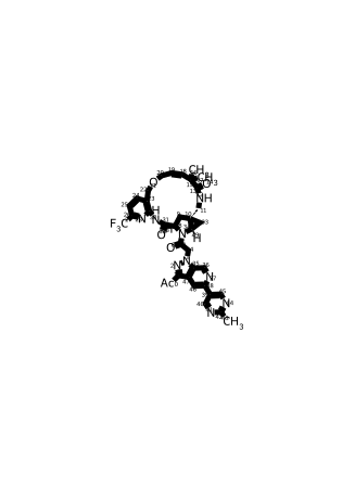 CC(=O)c1nn(CC(=O)N2[C@H]3C[C@@]4(CNC(=O)C(C)(C)C=CCOCc5ccc(C(F)(F)F)nc5NC3=O)C[C@@H]24)c2cnc(-c3cnc(C)nc3)cc12